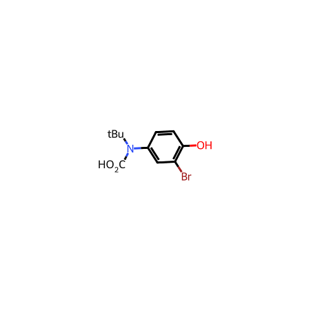 CC(C)(C)N(C(=O)O)c1ccc(O)c(Br)c1